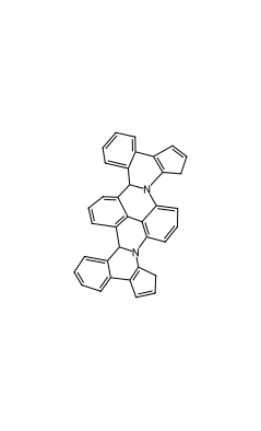 C1=CC2=C(C1)N1c3cccc4c3-c3c(cccc3C3c5ccccc5C5=C(CC=C5)N43)C1c1ccccc12